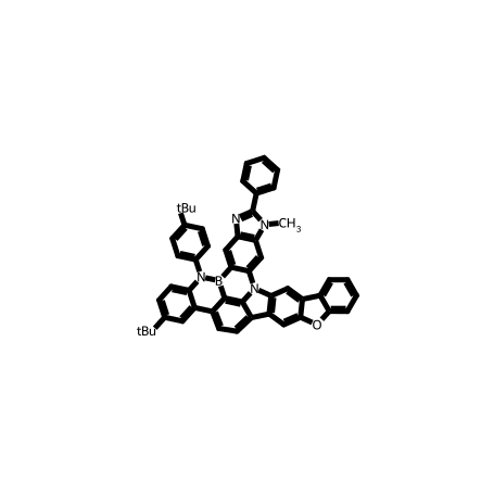 Cn1c(-c2ccccc2)nc2cc3c(cc21)-n1c2cc4c(cc2c2ccc5c(c21)B3N(c1ccc(C(C)(C)C)cc1)c1ccc(C(C)(C)C)cc1-5)oc1ccccc14